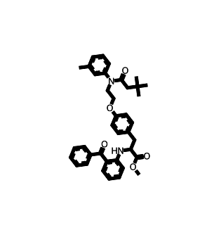 COC(=O)C(Cc1ccc(OCCN(C(=O)CC(C)(C)C)c2cccc(C)c2)cc1)Nc1ccccc1C(=O)c1ccccc1